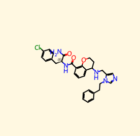 NC(=O)[C@H](Cc1ccc(Cl)cc1)NC(=O)c1cccc2c1OCCC2NCc1cncn1CCc1ccccc1